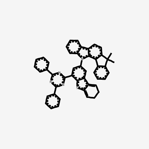 CC1(C)c2ccccc2-c2c1ccc1c3ccccc3n(-c3cc(-c4nc(-c5ccccc5)nc(-c5ccccc5)n4)c4sc5c(c4c3)=CCCC=5)c21